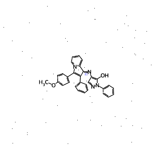 COc1ccc(C2=C(c3ccccc3)/C(=N\c3cnn(-c4ccccc4)c3O)c3cccc[n+]32)cc1